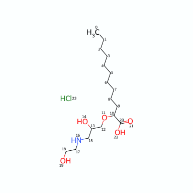 CCCCCCCCCCC(OCC(O)CNCCO)C(=O)O.Cl